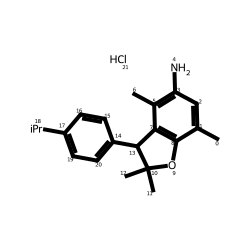 Cc1cc(N)c(C)c2c1OC(C)(C)C2c1ccc(C(C)C)cc1.Cl